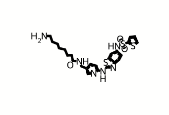 NCCCCCCCC(=O)NCc1ccc(Nc2nc3ccc(NS(=O)(=O)c4cccs4)cc3s2)nc1